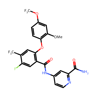 COc1cc(OC(F)(F)F)ccc1Oc1cc(C(F)(F)F)c(F)cc1C(=O)Nc1ccnc(C(N)=O)c1